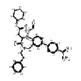 N=C(N)c1ccc(-c2ccc3c(c2)CN(CCc2ccccc2)C(=O)C(CC(=O)OC2CCCCC2)N3NC=O)cc1